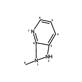 Cn1[nH]c2cccnc21